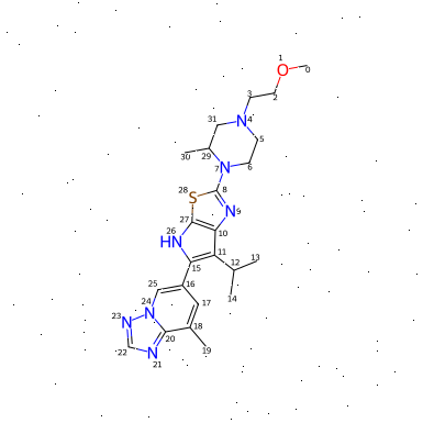 COCCN1CCN(c2nc3c(C(C)C)c(-c4cc(C)c5ncnn5c4)[nH]c3s2)C(C)C1